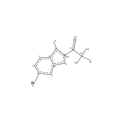 Cc1c2ccc(Br)cc2cn1C(=O)C(C)(C)C